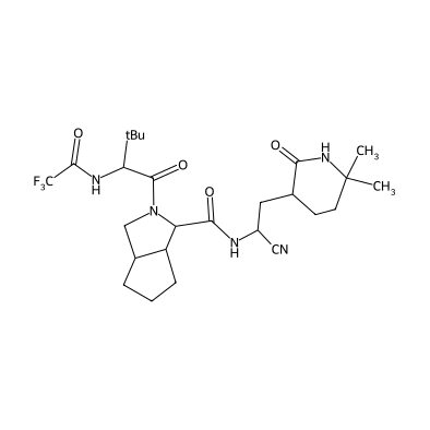 CC1(C)CCC(CC(C#N)NC(=O)C2C3CCCC3CN2C(=O)C(NC(=O)C(F)(F)F)C(C)(C)C)C(=O)N1